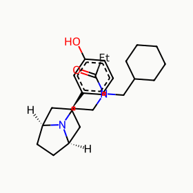 CCC(=O)N(CCN1[C@@H]2CC[C@H]1C[C@@H](c1cccc(O)c1)C2)CC1CCCCC1